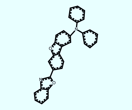 c1ccc(N(c2ccccc2)c2ccc3oc4cc(-c5nc6ccccc6o5)ccc4c3c2)cc1